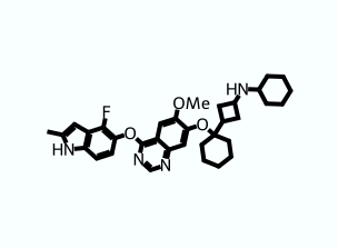 COc1cc2c(Oc3ccc4[nH]c(C)cc4c3F)ncnc2cc1OC1(C2CC(NC3CCCCC3)C2)CCCCC1